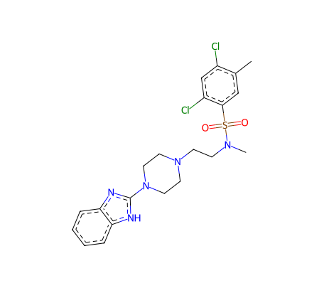 Cc1cc(S(=O)(=O)N(C)CCN2CCN(c3nc4ccccc4[nH]3)CC2)c(Cl)cc1Cl